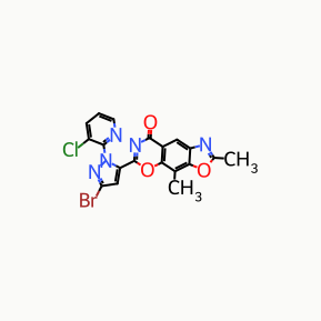 Cc1nc2cc3c(=O)nc(-c4cc(Br)nn4-c4ncccc4Cl)oc3c(C)c2o1